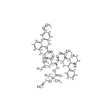 C#CCOC(C)(C)C(=O)OCN(C(=O)C(CCc1ccccc1)N(C(C)=O)C1CNCCO1)C(CC(C)C)C(=O)NC(Cc1ccccc1)C(=O)OCc1ccc(OC)cc1